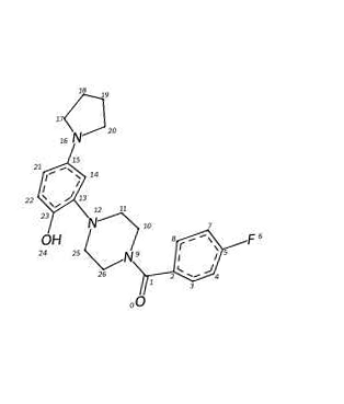 O=C(c1ccc(F)cc1)N1CCN(c2cc(N3CCCC3)ccc2O)CC1